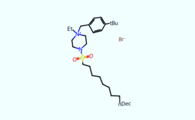 CCCCCCCCCCCCCCCCCCS(=O)(=O)N1CC[N+](CC)(Cc2ccc(C(C)(C)C)cc2)CC1.[Br-]